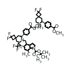 COC(=O)c1ccc([C@@H]2CC3(CCN2)CC(F)(F)C3)cc1.COC(=O)c1ccc([C@@H]2CC3(CCN2Cc2c([C@@H]4CC4(F)F)cc(C)c4c2ccn4C(=O)OC(C)(C)C)CC(F)(F)C3)cc1